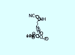 N#Cc1ccc2[nH]cc(CCCN3CCN(C(=O)c4cc(S(=O)(=O)NCC5CC5)ccc4OCC4COC4)CC3)c2c1